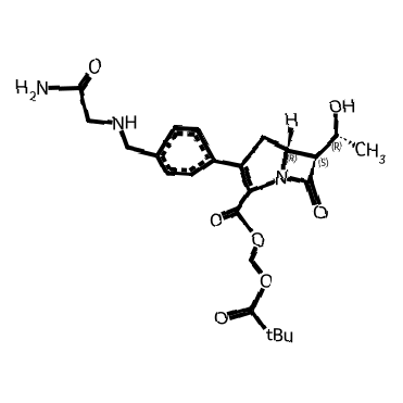 C[C@@H](O)[C@H]1C(=O)N2C(C(=O)OCOC(=O)C(C)(C)C)=C(c3ccc(CNCC(N)=O)cc3)C[C@H]12